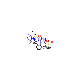 COc1cccc(OC)c1-n1c(NS(=O)(=O)[C@@H](C)[C@H](C)c2ncc(C)cn2)nnc1[C@@H]1CCCCS1(O)O